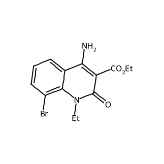 CCOC(=O)c1c(N)c2cccc(Br)c2n(CC)c1=O